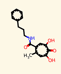 Cc1cc(O)c(=O)c(O)cc1C(=O)NCCCc1ccccc1